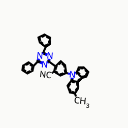 Cc1ccc2c(c1)c1ccccc1n2-c1ccc(-c2nc(-c3ccccc3)nc(-c3ccccc3)n2)c(C#N)c1